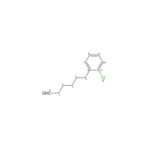 O=CCCCCCc1ccccc1Cl